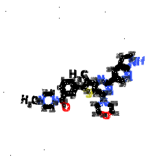 Cc1c(-c2cccc(C(=O)N3CCN(C)CC3)c2)sc2c(N3CCOCC3)nc(-c3cnc4c(c3)CCN4)nc12